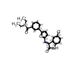 CCN(CC)C(=O)c1cccc(-c2ccc(/C=C3/C(=O)Nc4ccc(Cl)cc43)o2)c1